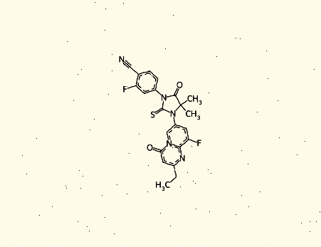 CCc1cc(=O)n2cc(N3C(=S)N(c4ccc(C#N)c(F)c4)C(=O)C3(C)C)cc(F)c2n1